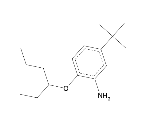 CCCC(CC)Oc1ccc(C(C)(C)C)cc1N